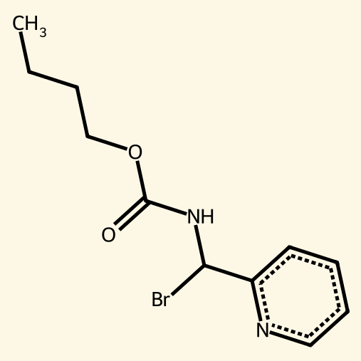 CCCCOC(=O)NC(Br)c1ccccn1